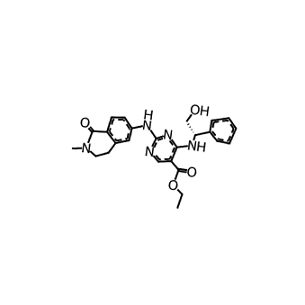 CCOC(=O)c1cnc(Nc2ccc3c(c2)CCN(C)C3=O)nc1N[C@H](CO)c1ccccc1